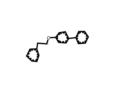 [C](Cc1ccccc1)Oc1ccc(-c2ccccc2)cc1